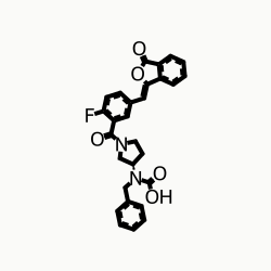 O=C1OC(=Cc2ccc(F)c(C(=O)N3CC[C@H](N(Cc4ccccc4)C(=O)O)C3)c2)c2ccccc21